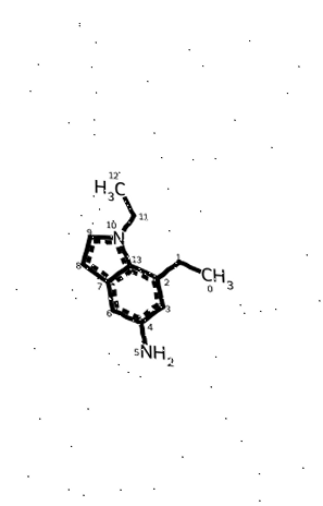 CCc1cc(N)cc2ccn(CC)c12